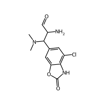 CN(C)C(c1cc(Cl)c2[nH]c(=O)oc2c1)C(N)C=O